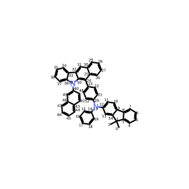 CC1(C)c2ccccc2-c2ccc(N(c3ccccc3)c3ccc(-c4c5ccccc5cc5c6ccccc6n(-c6ccc7ccccc7c6)c45)cc3)cc21